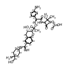 CC(O/N=C(\C(=O)NC1C(=O)N(OS(=O)O)C1(C)C)c1csc(N)n1)(C(=O)O)C1CCc2cc(C(=N)NC3CCC(N)(CO)CC3)ccc2O1